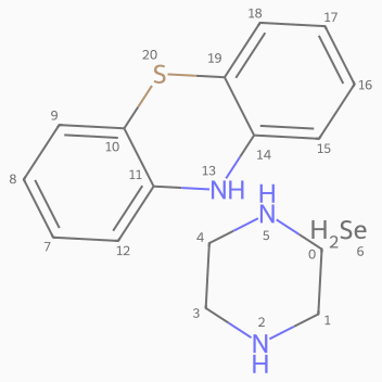 C1CNCCN1.[SeH2].c1ccc2c(c1)Nc1ccccc1S2